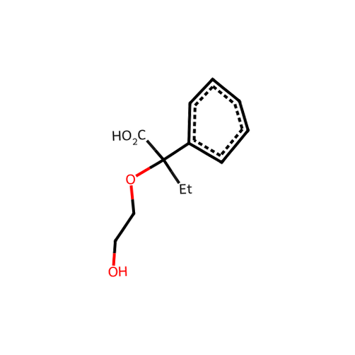 CCC(OCCO)(C(=O)O)c1ccccc1